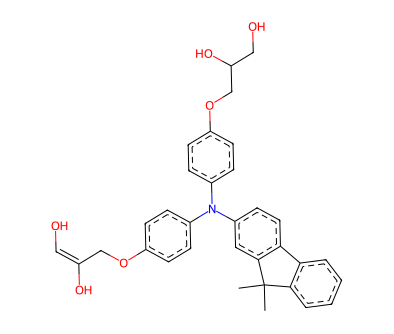 CC1(C)c2ccccc2-c2ccc(N(c3ccc(OC/C(O)=C\O)cc3)c3ccc(OCC(O)CO)cc3)cc21